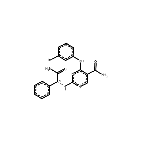 NC(=O)c1cnc(N[C@@H](C(N)=O)c2ccccc2)nc1Nc1cccc(Br)c1